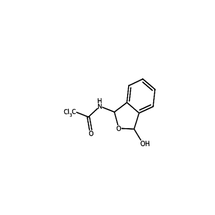 O=C(NC1OC(O)c2ccccc21)C(Cl)(Cl)Cl